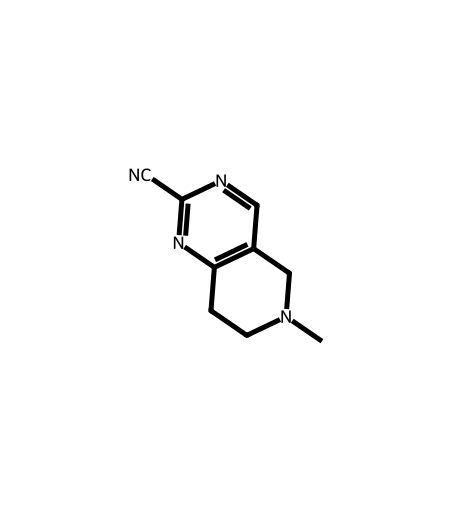 CN1CCc2nc(C#N)ncc2C1